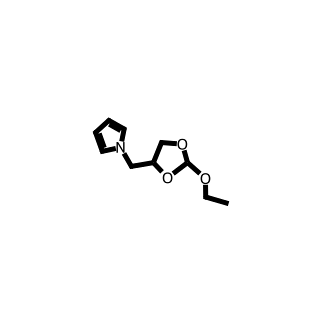 CCOC1OCC(Cn2cccc2)O1